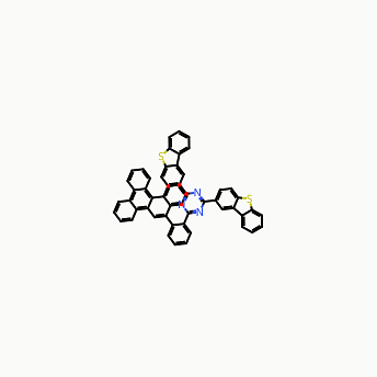 c1ccc(-c2cc3c4ccccc4c4ccccc4c3c3ccccc23)c(-c2nc(-c3ccc4sc5ccccc5c4c3)nc(-c3ccc4sc5ccccc5c4c3)n2)c1